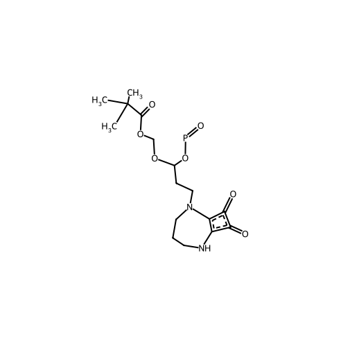 CC(C)(C)C(=O)OCOC(CCN1CCCNc2c1c(=O)c2=O)OP=O